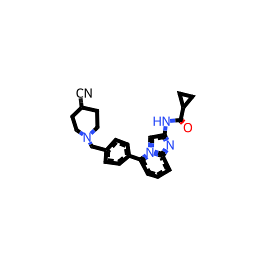 N#CC1CCN(Cc2ccc(-c3cccc4nc(NC(=O)C5CC5)cn34)cc2)CC1